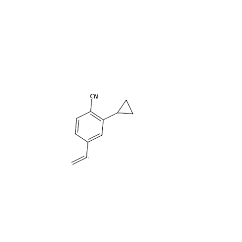 C=[C]c1ccc(C#N)c(C2CC2)c1